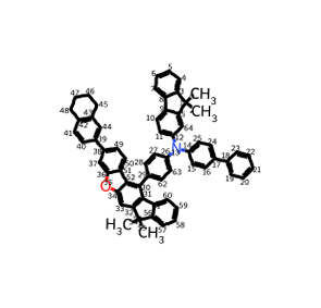 CC1(C)c2ccccc2-c2ccc(N(c3ccc(-c4ccccc4)cc3)c3ccc(-c4c5c(cc6oc7cc(-c8ccc9c(c8)CCCC9)ccc7c46)C(C)(C)c4ccccc4-5)cc3)cc21